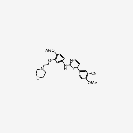 COc1ccc(-c2ccnc(Nc3ccc(OC)c(OCCN4CCOCC4)c3)n2)cc1C#N